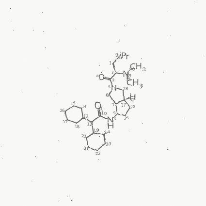 CC(C)C[C@H](C(=O)N1CC2C(NC(=O)C(C3CCCCC3)C3CCCCC3)CC[C@H]2C1)N(C)C